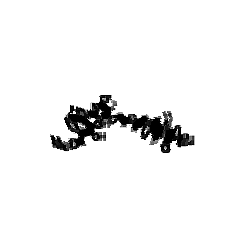 COC[C@H]1OC[C@H](Nc2nc(OCCOCCOCCNC(=O)OC(C)(C)C)cc(C(F)(F)F)n2)[C@@H](O)[C@H]1O